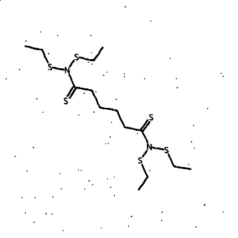 CCSN(SCC)C(=S)CCCCC(=S)N(SCC)SCC